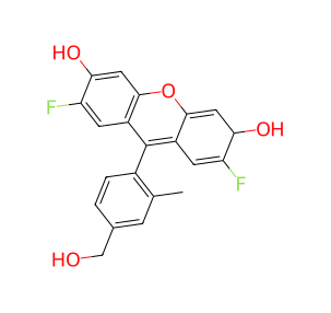 Cc1cc(CO)ccc1C1=C2C=C(F)C(O)C=C2Oc2cc(O)c(F)cc21